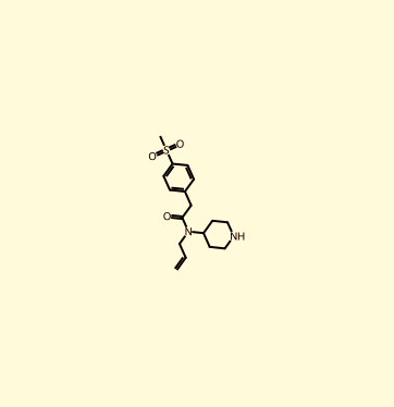 C=CCN(C(=O)Cc1ccc(S(C)(=O)=O)cc1)C1CCNCC1